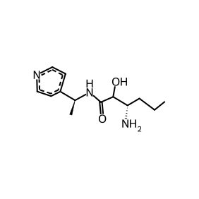 CCC[C@H](N)C(O)C(=O)N[C@@H](C)c1ccncc1